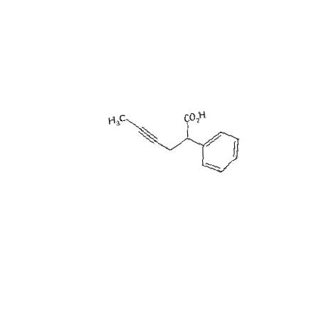 CC#CCC(C(=O)O)c1ccccc1